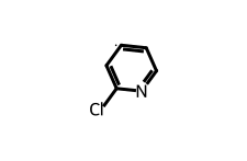 Clc1c[c]ccn1